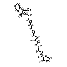 O=C1c2ccccc2C(=O)N1CCOCCCOCCCOCCCOCc1ccccc1